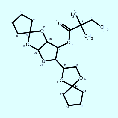 CCC(C)(C)C(=O)OC1C(C2COC3(CCCC3)O2)OC2OC3(CCCC3)OC21